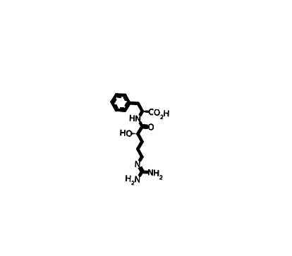 NC(N)=NCCC[C@H](O)C(=O)N[C@@H](Cc1ccccc1)C(=O)O